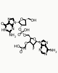 Nc1nc2c(ncn2[C@@H]2O[C@H](CO)C[C@@H]2OP(=O)(O)OC[C@H]2O[C@@H](n3cnc4c(N)ncnc43)C(F)C2OC[PH](=O)O)c(=O)[nH]1